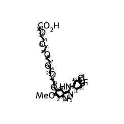 COc1cc2ncnc(Nc3ccc(F)c(Cl)c3)c2cc1OCCOCCOCCOCCOCCOCC(=O)O